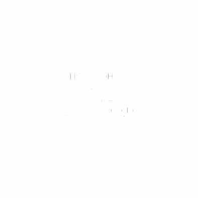 CC(O)(O)O.CCOC(=O)CC(=O)OCC